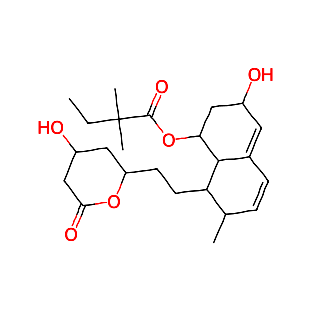 CCC(C)(C)C(=O)OC1CC(O)C=C2C=CC(C)C(CCC3CC(O)CC(=O)O3)C21